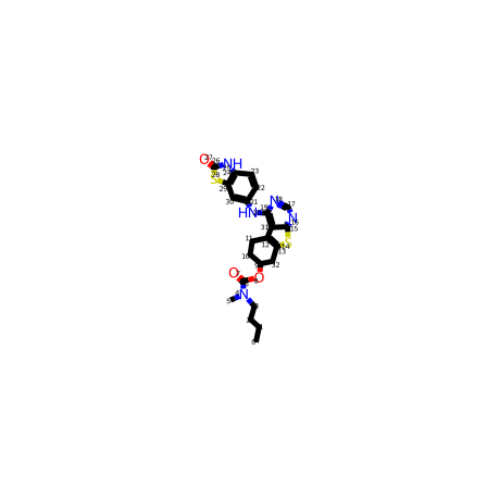 CCCCN(C)C(=O)OC1CCc2c(sc3ncnc(Nc4ccc5[nH]c(=O)sc5c4)c23)C1